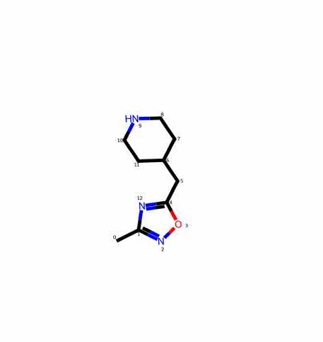 Cc1noc(CC2CCNCC2)n1